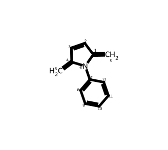 C=c1ccc(=C)n1-c1ccccc1